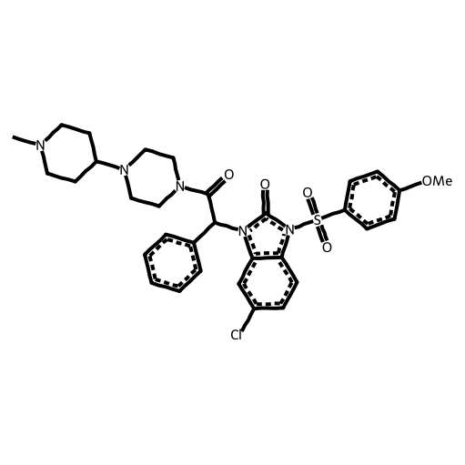 COc1ccc(S(=O)(=O)n2c(=O)n(C(C(=O)N3CCN(C4CCN(C)CC4)CC3)c3ccccc3)c3cc(Cl)ccc32)cc1